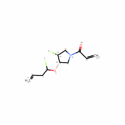 C=CCC(F)O[C@H]1CN(C(=O)C=C)C[C@@H]1F